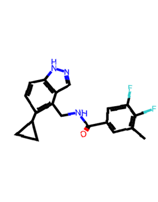 Cc1cc(C(=O)NCc2c(C3CC3)ccc3[nH]ncc23)cc(F)c1F